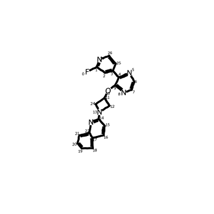 Fc1cc(-c2nccnc2OC2CN(c3ccc4ccccc4n3)C2)ccn1